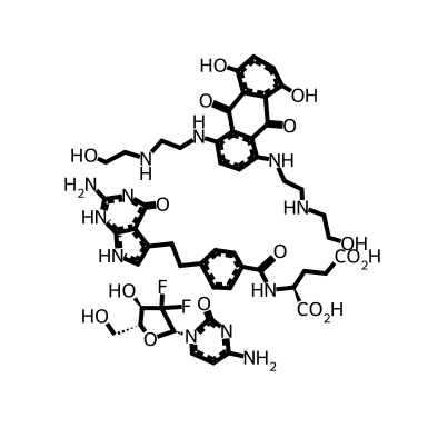 Nc1ccn([C@@H]2O[C@H](CO)[C@@H](O)C2(F)F)c(=O)n1.Nc1nc(=O)c2c(CCc3ccc(C(=O)N[C@@H](CCC(=O)O)C(=O)O)cc3)c[nH]c2[nH]1.O=C1c2c(O)ccc(O)c2C(=O)c2c(NCCNCCO)ccc(NCCNCCO)c21